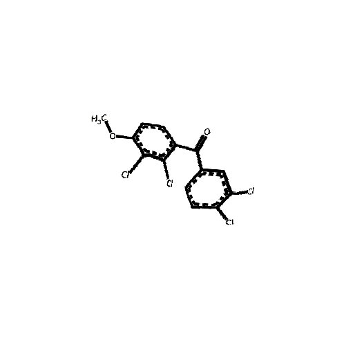 COc1ccc(C(=O)c2ccc(Cl)c(Cl)c2)c(Cl)c1Cl